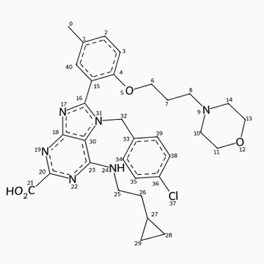 Cc1ccc(OCCCN2CCOCC2)c(-c2nc3nc(C(=O)O)nc(NCCC4CC4)c3n2Cc2ccc(Cl)cc2)c1